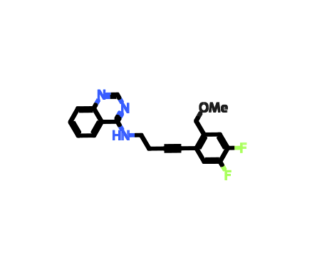 COCc1cc(F)c(F)cc1C#CCCNc1ncnc2ccccc12